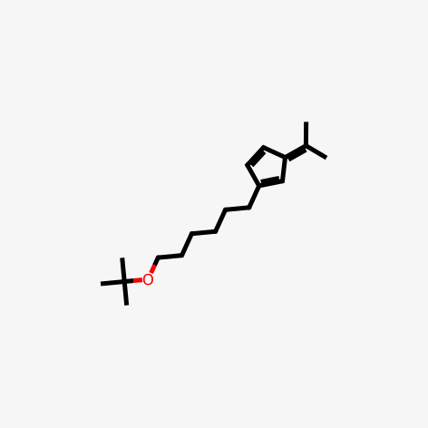 CC(C)=C1C=CC(CCCCCCOC(C)(C)C)=C1